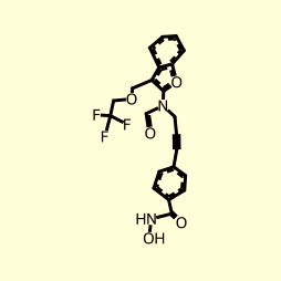 O=CN(CC#Cc1ccc(C(=O)NO)cc1)c1oc2ccccc2c1COCC(F)(F)F